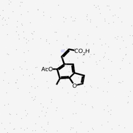 CC(=O)Oc1c(/C=C\C(=O)O)cc2ccoc2c1C